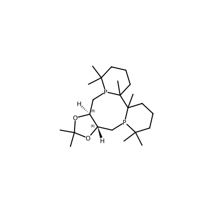 CC1(C)O[C@H]2CP3C(C)(C)CCCC3(C)C3(C)CCCC(C)(C)P3C[C@@H]2O1